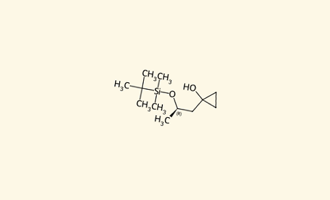 C[C@H](CC1(O)CC1)O[Si](C)(C)C(C)(C)C